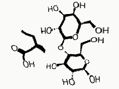 CCC(C)C(=O)O.OC[C@H]1O[C@@H](O[C@H]2[C@H](O)[C@@H](O)[C@H](O)O[C@@H]2CO)[C@H](O)[C@@H](O)[C@H]1O